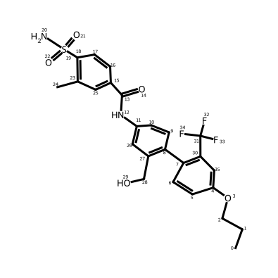 CCCOc1ccc(-c2ccc(NC(=O)c3ccc(S(N)(=O)=O)c(C)c3)cc2CO)c(C(F)(F)F)c1